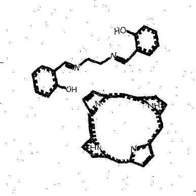 C1=Cc2cc3ccc(cc4nc(cc5ccc(cc1n2)[nH]5)C=C4)[nH]3.Oc1ccccc1/C=N/CC/N=C/c1ccccc1O